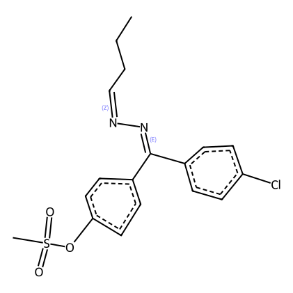 CCC/C=N\N=C(\c1ccc(Cl)cc1)c1ccc(OS(C)(=O)=O)cc1